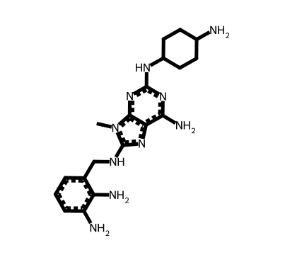 Cn1c(NCc2cccc(N)c2N)nc2c(N)nc(NC3CCC(N)CC3)nc21